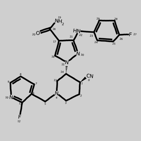 N#C[C@H]1CCN(Cc2cccnc2F)C[C@@H]1n1cc(C(N)=O)c(Nc2ccc(F)cc2)n1